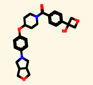 O=C(c1ccc(C2(O)COC2)cc1)N1CCC(Oc2ccc(N3CC4COCC4C3)cc2)CC1